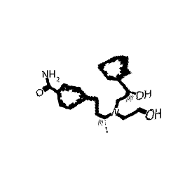 C[C@H](CCc1ccc(C(N)=O)cc1)N(CCO)C[C@H](O)c1ccccc1